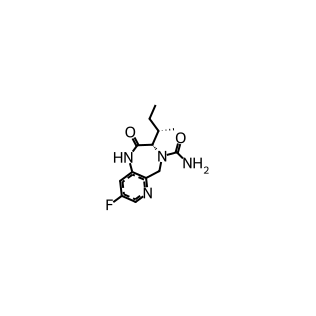 CC[C@H](C)[C@H]1C(=O)Nc2cc(F)cnc2CN1C(N)=O